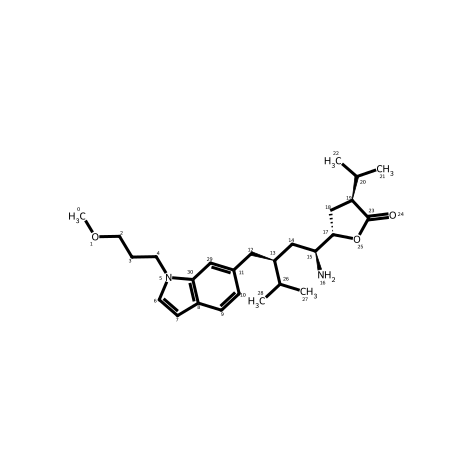 COCCCn1ccc2ccc(C[C@@H](C[C@H](N)[C@@H]3C[C@@H](C(C)C)C(=O)O3)C(C)C)cc21